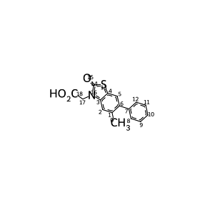 Cc1cc2c(cc1-c1ccccc1)sc(=O)n2CC(=O)O